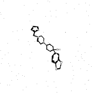 OC1(c2ccc3c(c2)OCO3)CCC(N2CCN(Cc3cccs3)CC2)CC1